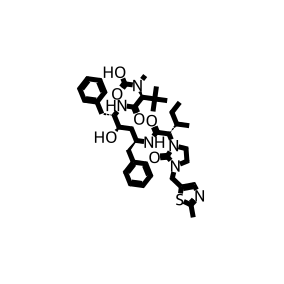 CCC(C)[C@@H](C(=O)N[C@@H](Cc1ccccc1)C[C@@H](O)[C@H](Cc1ccccc1)NC(=O)[C@@H](N(C)C(=O)O)C(C)(C)C)N1CCN(Cc2cnc(C)s2)C1=O